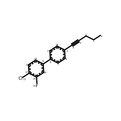 CCCC#Cc1ccc(-c2ccc(Cl)c(F)c2)cc1